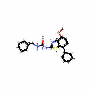 COc1ccc(-c2ccccc2)c2sc(NC(=O)NCc3ccccc3)nc12